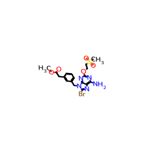 COC(=O)Cc1cccc(Cn2c(Br)nc3c(N)nc(OCCS(C)(=O)=O)nc32)c1